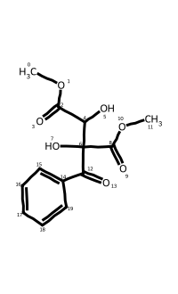 COC(=O)C(O)C(O)(C(=O)OC)C(=O)c1ccccc1